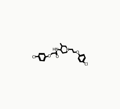 CC1CN(CCOc2ccc(Cl)cc2)CCC1NC(=O)COc1ccc(Cl)cc1